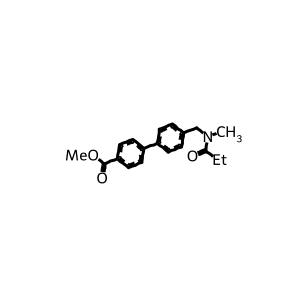 CCC(=O)N(C)Cc1ccc(-c2ccc(C(=O)OC)cc2)cc1